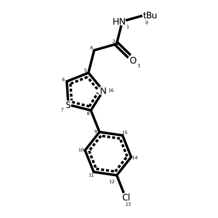 CC(C)(C)NC(=O)Cc1csc(-c2ccc(Cl)cc2)n1